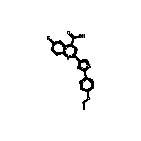 CCOc1ccc(-c2nc(-c3cc(C(=O)O)c4cc(F)ccc4n3)cs2)cc1